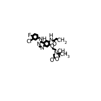 C=CC(=O)Nc1cc2c(Nc3ccc(F)c(Cl)c3)ncnc2cc1OCCN1CC(=O)OCC1(C)C